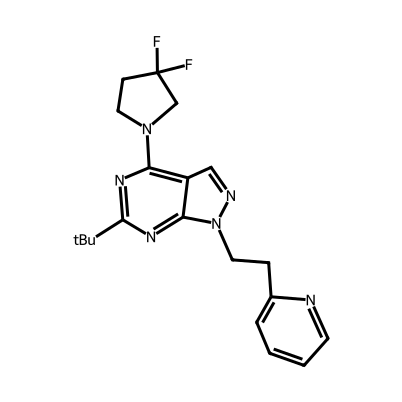 CC(C)(C)c1nc(N2CCC(F)(F)C2)c2cnn(CCc3ccccn3)c2n1